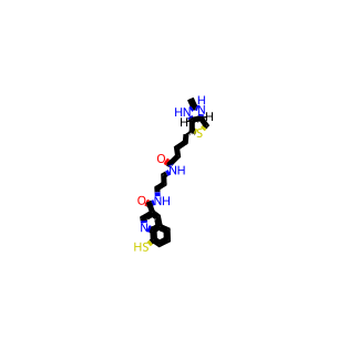 C=C1N[C@H]2[C@H](CS[C@H]2CCCCC(=O)NCCCNC(=O)c2cnc3c(S)cccc3c2)N1